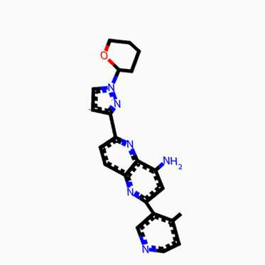 Cc1ccncc1-c1cc(N)c2nc(-c3[c]cn(C4CCCCO4)n3)ccc2n1